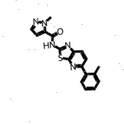 Cc1ccccc1-c1ccc2nc(NC(=O)c3ccnn3C)sc2n1